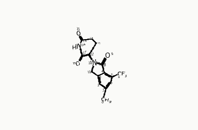 Cc1cc2c(c(C(F)(F)F)c1)C(=O)N(C1CCC(=O)NC1=O)C2